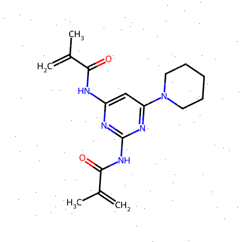 C=C(C)C(=O)Nc1cc(N2CCCCC2)nc(NC(=O)C(=C)C)n1